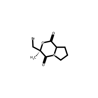 C[C@]1(CBr)OC(=O)C2CCCN2C1=O